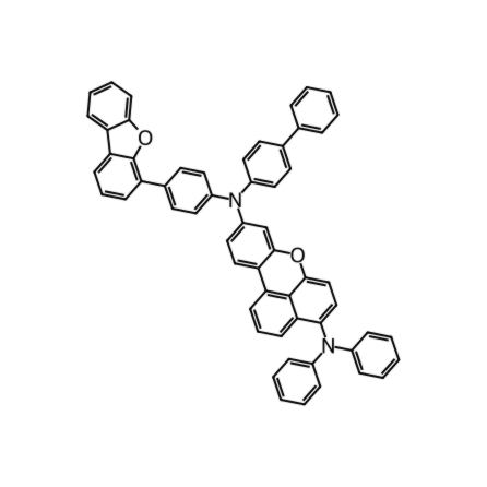 c1ccc(-c2ccc(N(c3ccc(-c4cccc5c4oc4ccccc45)cc3)c3ccc4c(c3)Oc3ccc(N(c5ccccc5)c5ccccc5)c5cccc-4c35)cc2)cc1